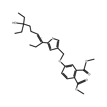 CC/C(=C\CCC(O)(CC)CC)c1cc(COc2ccc(C(=O)OC)c(C(=O)OC)c2)cs1